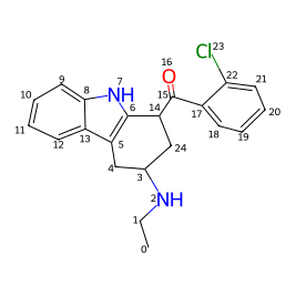 CCNC1Cc2c([nH]c3ccccc23)C(C(=O)c2ccccc2Cl)C1